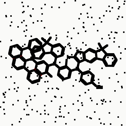 Cc1ccc(N(c2ccccc2-c2ccccc2)c2ccccc2-c2ccccc2)cc1N(c1cccc(N(c2ccc(C(C)(C)C)cc2)c2c(I)sc3cc4c(cc23)-c2ccccc2C4(C)C)c1C)c1cccc2c1-c1ccccc1C2(C)C